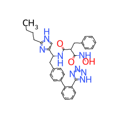 CCCCc1nc(C(Cc2ccc(-c3ccccc3-c3nnn[nH]3)cc2)NC(=O)C(Cc2ccccc2)C(=O)NO)c[nH]1